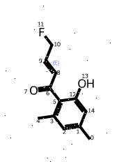 Cc1cc(C)c(C(=O)/C=C/CF)c(O)c1